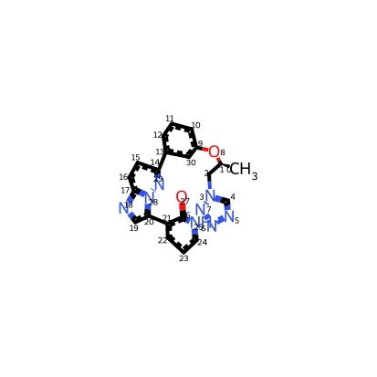 C[C@@H](Cn1cnnn1)Oc1cccc(-c2ccc3ncc(-c4ccc[nH]c4=O)n3n2)c1